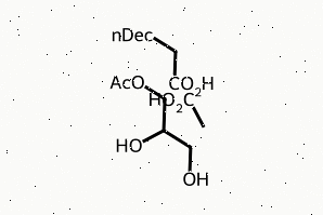 CC(=O)O.CC(=O)OCC(O)CO.CCCCCCCCCCCC(=O)O